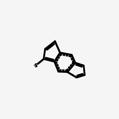 [S]C1=c2cc3c(cc2C=C1)=CC=C3